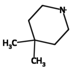 CC1(C)CC[N]CC1